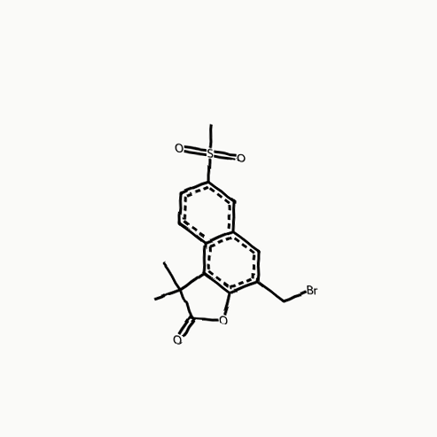 CC1(C)C(=O)Oc2c(CBr)cc3cc(S(C)(=O)=O)ccc3c21